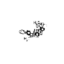 COc1cc(N2CCOCC2)ccc1-c1nc2c(N[C@H]3[C@@H](C(=O)N(C)C)[C@@H]4C=C[C@H]3C4)c(Cl)cnc2[nH]1